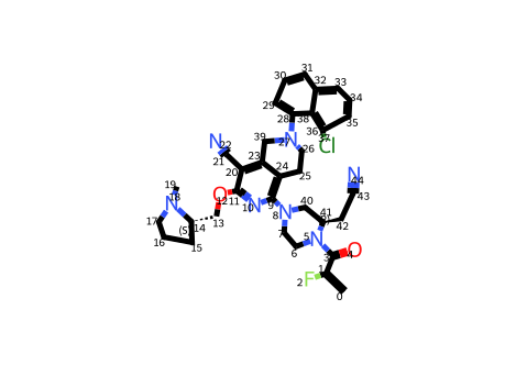 C=C(F)C(=O)N1CCN(c2nc(OC[C@@H]3CCCN3C)c(C#N)c3c2CCN(c2cccc4cccc(Cl)c24)C3)C[C@H]1CC#N